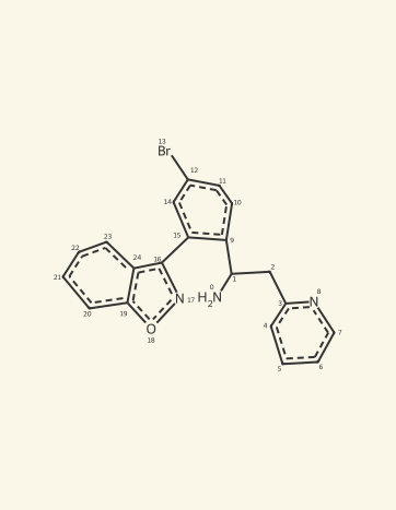 NC(Cc1ccccn1)c1ccc(Br)cc1-c1noc2ccccc12